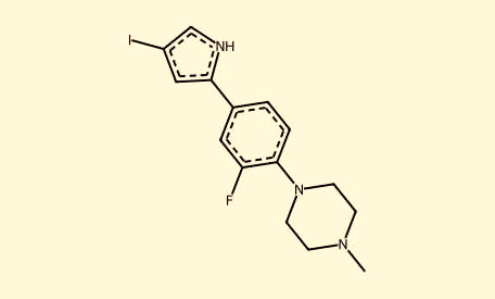 CN1CCN(c2ccc(-c3cc(I)c[nH]3)cc2F)CC1